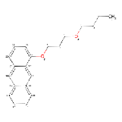 CCCCOCCCOc1cccc2cc3ccccc3cc12